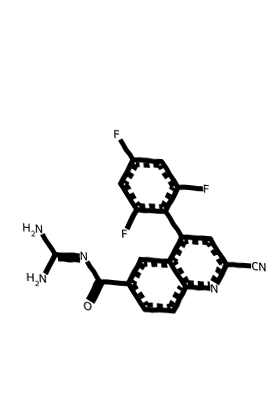 N#Cc1cc(-c2c(F)cc(F)cc2F)c2cc(C(=O)N=C(N)N)ccc2n1